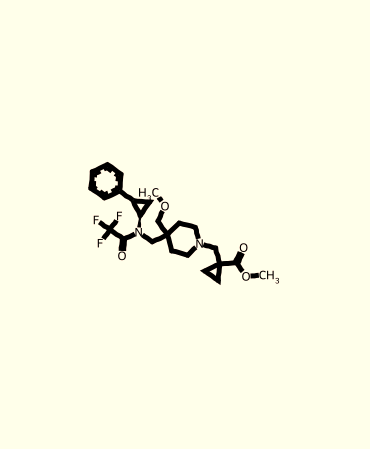 COCC1(CN(C(=O)C(F)(F)F)[C@@H]2CC2c2ccccc2)CCN(CC2(C(=O)OC)CC2)CC1